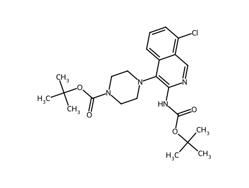 CC(C)(C)OC(=O)Nc1ncc2c(Cl)cccc2c1N1CCN(C(=O)OC(C)(C)C)CC1